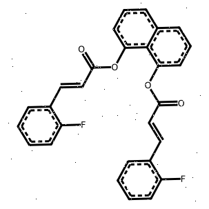 O=C(C=Cc1ccccc1F)Oc1cccc2cccc(OC(=O)/C=C/c3ccccc3F)c12